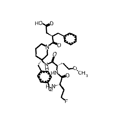 COCC[C@H](NC(=O)[C@@H](N)CCF)C(=O)N[C@@]1(Cc2ccc(Cl)cc2)CCCN(C(=O)[C@@H](CC(=O)O)Cc2ccccc2)C1